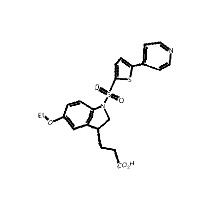 CCOc1ccc2c(c1)C(CCC(=O)O)CN2S(=O)(=O)c1ccc(-c2ccncc2)s1